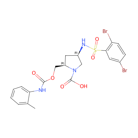 Cc1ccccc1NC(=O)OC[C@H]1C[C@@H](NS(=O)(=O)c2cc(Br)ccc2Br)CN1C(=O)O